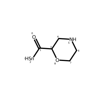 O=[C]([SnH])C1CNCCO1